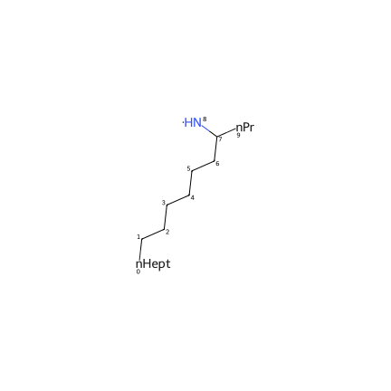 CCCCCCCCCCCCCC([NH])CCC